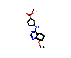 COC(=O)[C@@H]1CC[C@H](Nc2ncnc3c(OC)cccc23)C1